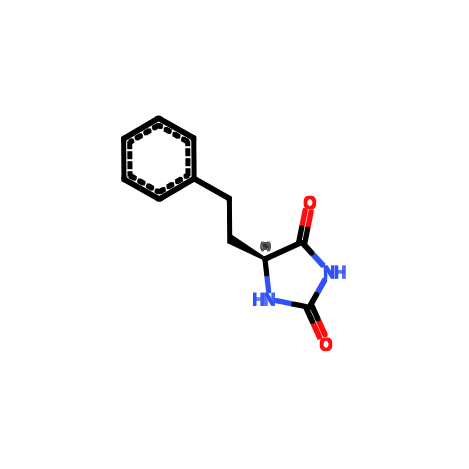 O=C1NC(=O)[C@H](CCc2ccccc2)N1